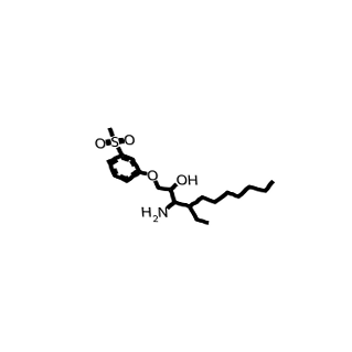 CCCCCCCC(CC)C(N)C(O)COc1cccc(S(C)(=O)=O)c1